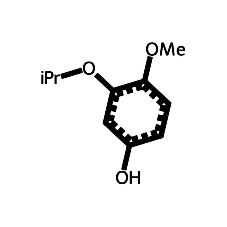 COc1ccc(O)cc1OC(C)C